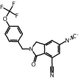 [C-]#[N+]c1cc(C#N)c2c(c1)CN(Cc1ccc(OC(F)(F)F)cc1)C2=O